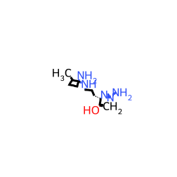 C=C(O)[C@H](CCCNC1(N)CCC1C)N=NN